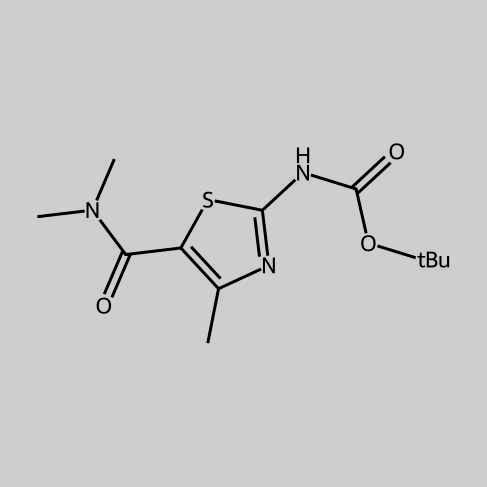 Cc1nc(NC(=O)OC(C)(C)C)sc1C(=O)N(C)C